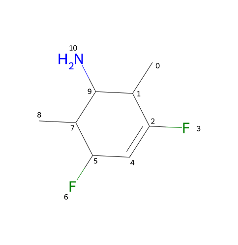 CC1C(F)=CC(F)C(C)C1N